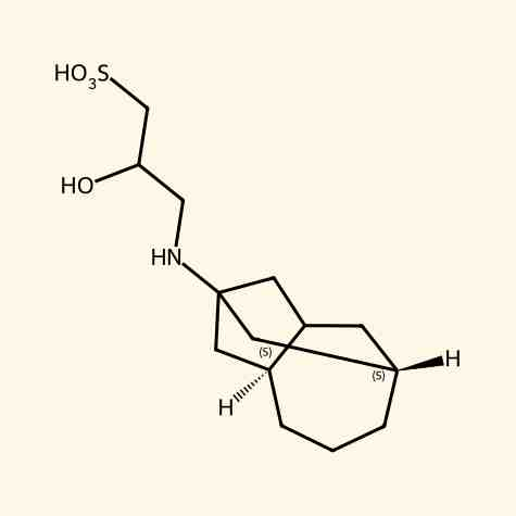 O=S(=O)(O)CC(O)CNC12CC3C[C@H](CCC[C@H]3C1)C2